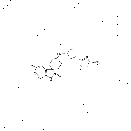 Cc1ccc2c(c1)C1(CCC(N[C@@H]3CC[C@H](c4nc(C(F)(F)F)no4)C3)CC1)C(=O)N2